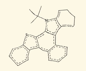 CC(C)(C)n1c2c(c3c4ccccc4c4c5ccccc5sc4c31)=CCCC=2